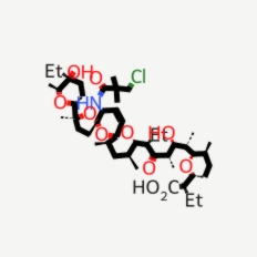 CC[C@@H](C(=O)[C@@H](C)[C@@H](O)[C@H](C)[C@@H]1O[C@@H]([C@@H](CC)C(=O)O)CC[C@@H]1C)[C@H]1O[C@]2(C=CC(NC(=O)C(C)(C)CCl)[C@]3(CC[C@@](C)([C@H]4CC[C@](O)(CC)[C@H](C)O4)O3)O2)[C@H](C)C[C@@H]1C